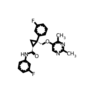 Cc1ncc(OC[C@@]2(c3cccc(F)c3)C[C@H]2C(=O)Nc2cccc(F)c2)c(C)n1